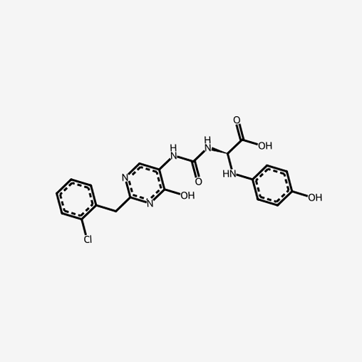 O=C(Nc1cnc(Cc2ccccc2Cl)nc1O)N[C@H](Nc1ccc(O)cc1)C(=O)O